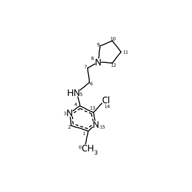 Cc1cnc(NCCN2CCCC2)c(Cl)n1